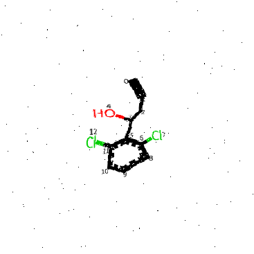 C#CCC(O)c1c(Cl)cccc1Cl